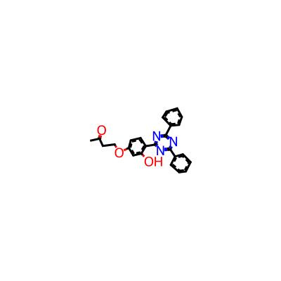 CC(=O)CCOc1ccc(-c2nc(-c3ccccc3)nc(-c3ccccc3)n2)c(O)c1